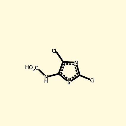 O=C(O)Nc1sc(Cl)nc1Cl